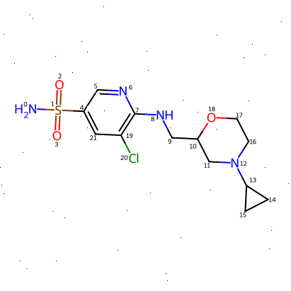 NS(=O)(=O)c1cnc(NCC2CN(C3CC3)CCO2)c(Cl)c1